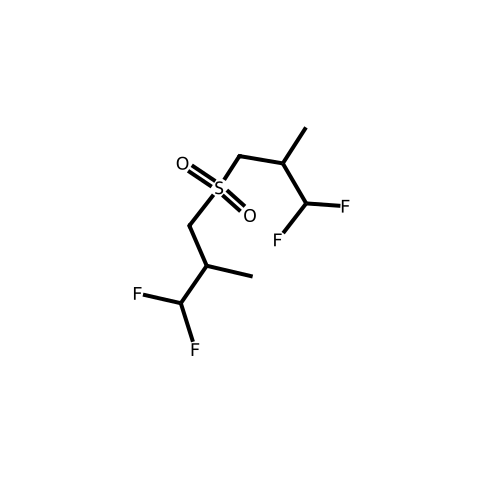 CC(CS(=O)(=O)CC(C)C(F)F)C(F)F